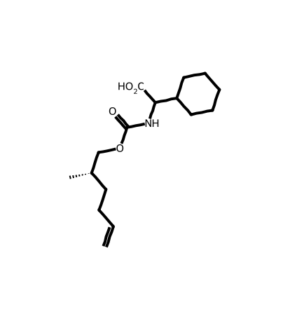 C=CCC[C@H](C)COC(=O)NC(C(=O)O)C1CCCCC1